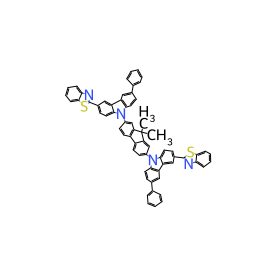 CC1(C)c2cc(-n3c4ccc(-c5ccccc5)cc4c4cc(-c5nc6ccccc6s5)ccc43)ccc2-c2ccc(-n3c4ccc(-c5ccccc5)cc4c4cc(-c5nc6ccccc6s5)ccc43)cc21